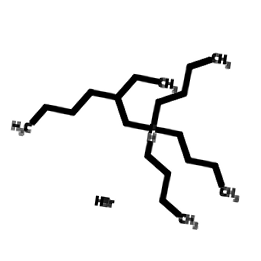 Br.CCCCC(CC)C[PH](CCCC)(CCCC)CCCC